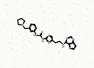 O=C(Nc1cccc(CN2CCCC2)c1)Nc1ncc(CCNc2ncnc3ccsc23)s1